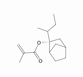 C=C(C)C(=O)O[C@]1(C(C)CC)CC2CCC1C2